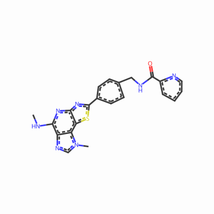 CNc1nc2nc(-c3ccc(CNC(=O)c4ccccn4)cc3)sc2c2c1ncn2C